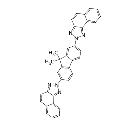 CC1(C)c2cc(-n3nc4ccc5ccccc5c4n3)ccc2-c2ccc(-n3nc4ccc5ccccc5c4n3)cc21